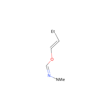 CC/C=C/O/C=N\NC